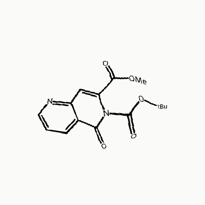 COC(=O)c1cc2ncccc2c(=O)n1C(=O)OC(C)(C)C